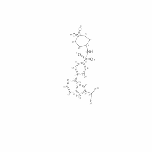 O=S1(=O)CCC(NS(=O)(=O)c2ccc(-c3ccnc4[nH]c(C(F)F)cc34)nc2)CC1